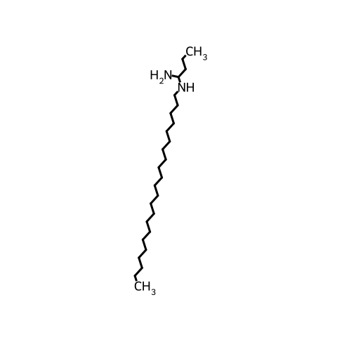 CCCCCCCCCCCCCCCCCCCCCCNC(N)CCC